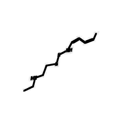 C/C=C\C=C/NSSCCNCC